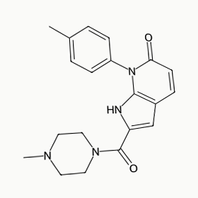 Cc1ccc(-n2c(=O)ccc3cc(C(=O)N4CCN(C)CC4)[nH]c32)cc1